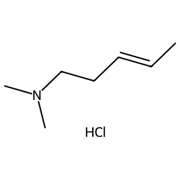 CC=CCCN(C)C.Cl